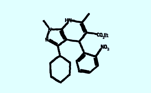 CCOC(=O)C1=C(C)Nc2c(c(C3CCCCC3)nn2C)C1c1ccccc1[N+](=O)[O-]